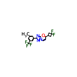 Cc1cc(-c2ncn(/C=C\C(=O)C3CC(F)(F)C3)n2)cc(C(F)(F)F)c1